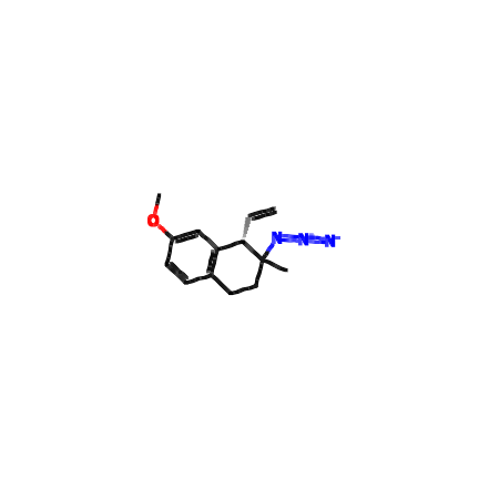 C=C[C@H]1c2cc(OC)ccc2CCC1(C)N=[N+]=[N-]